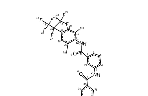 O=C(Nc1cccc(C(=O)Nc2c(I)cc(C(F)(C(F)(F)F)C(F)(F)F)cc2I)c1)c1ccccc1